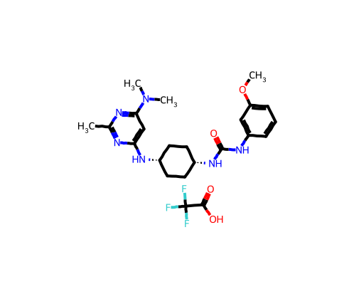 COc1cccc(NC(=O)N[C@H]2CC[C@@H](Nc3cc(N(C)C)nc(C)n3)CC2)c1.O=C(O)C(F)(F)F